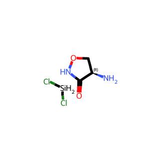 Cl[SiH2]Cl.N[C@@H]1CONC1=O